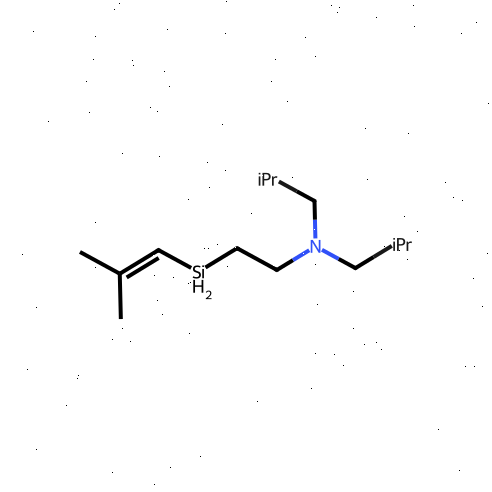 CC(C)=C[SiH2]CCN(CC(C)C)CC(C)C